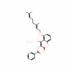 CCCCCCCCCCOc1c(OC(=O)c2ccccc2)c(=O)oc2cccc(OC/C=C(\C)CCC=C(C)C)c12